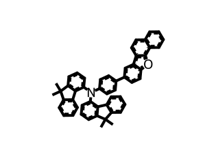 CC1(C)c2ccccc2-c2c(N(c3ccc(-c4ccc5oc6c7ccccc7ccc6c5c4)cc3)c3cccc4c3-c3ccccc3C4(C)C)cccc21